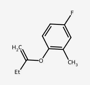 C=C(CC)Oc1ccc(F)cc1C